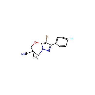 CC1(C#N)COc2c(Br)c(-c3ccc(F)cc3)nn2C1